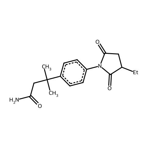 CCC1CC(=O)N(c2ccc(C(C)(C)CC(N)=O)cc2)C1=O